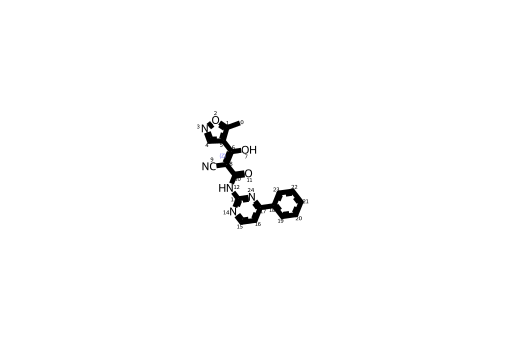 Cc1oncc1/C(O)=C(\C#N)C(=O)Nc1nccc(-c2ccccc2)n1